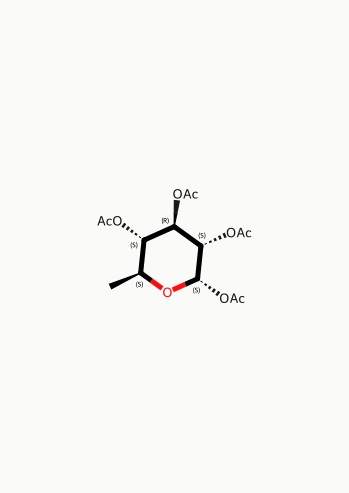 CC(=O)O[C@@H]1O[C@@H](C)[C@H](OC(C)=O)[C@@H](OC(C)=O)[C@@H]1OC(C)=O